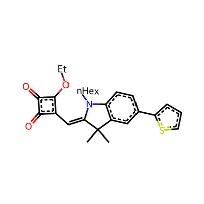 CCCCCCN1C(=Cc2c(OCC)c(=O)c2=O)C(C)(C)c2cc(-c3cccs3)ccc21